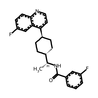 C[C@@H](NC(=O)c1cccc(F)c1)[C@H]1CC[C@H](c2ccnc3ccc(F)cc32)CC1